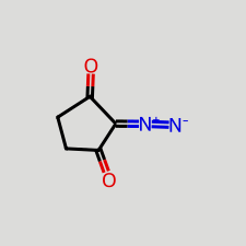 [N-]=[N+]=C1C(=O)CCC1=O